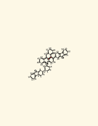 c1cc(-c2ccc3c(c2)sc2ccccc23)cc(N(c2ccc(-c3ccc4c(c3)sc3ccccc34)cc2)c2ccccc2-c2ccc3ccccc3c2)c1